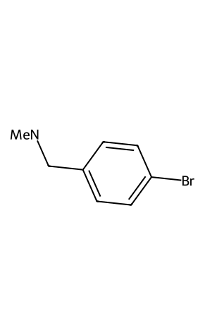 CNCc1ccc(Br)cc1